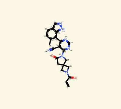 C=CC(=O)N1CC2(CC(=O)N(c3ncnc(-c4c(C)ccc5cn[nH]c45)c3C#N)C2)C1